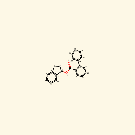 O=C(OC1C=Cc2ccccc21)c1ccccc1-c1ccccc1